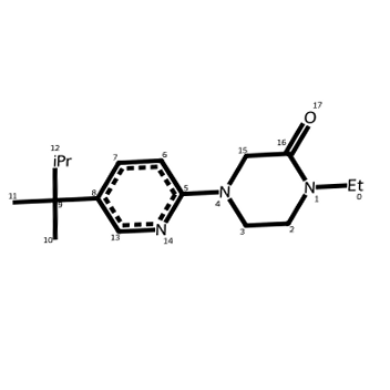 CCN1CCN(c2ccc(C(C)(C)C(C)C)cn2)CC1=O